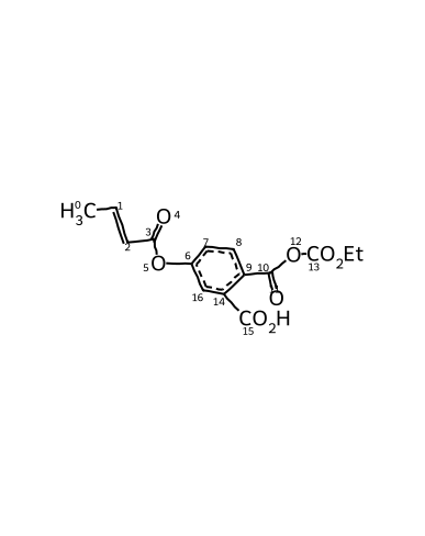 CC=CC(=O)Oc1ccc(C(=O)OC(=O)OCC)c(C(=O)O)c1